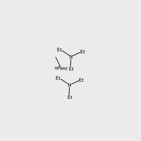 CCCCCC.CCN(CC)CC.CCN(CC)CC